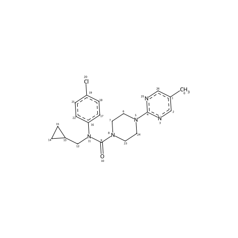 Cc1cnc(N2CCN(C(=O)N(CC3CC3)c3ccc(Cl)cc3)CC2)nc1